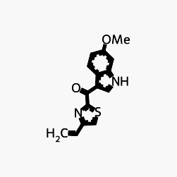 C=Cc1csc(C(=O)c2c[nH]c3cc(OC)ccc23)n1